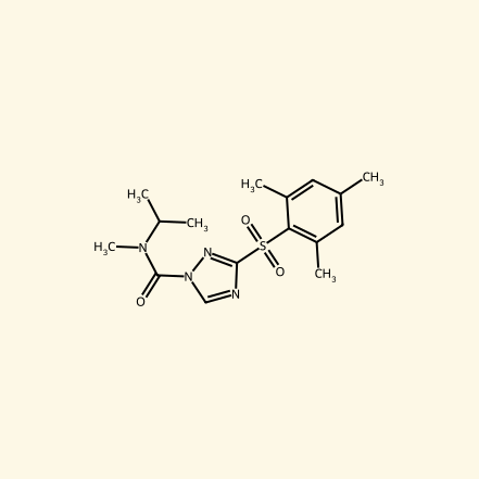 Cc1cc(C)c(S(=O)(=O)c2ncn(C(=O)N(C)C(C)C)n2)c(C)c1